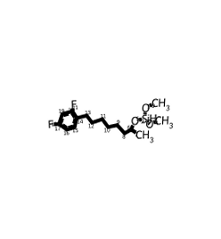 CO[SiH](OC)OC(C)CCCCCCc1ccc(F)cc1F